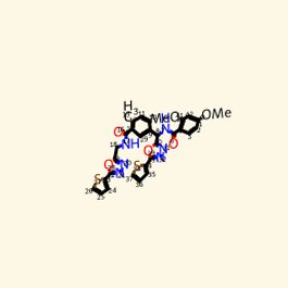 COc1ccc(C(=O)NC(c2ccc(C)c(C(=O)NCc3nnc(-c4cccs4)o3)c2)c2nnc(-c3cccs3)o2)c(OC)c1